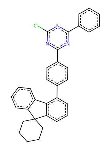 Clc1nc(-c2ccccc2)nc(-c2ccc(-c3cccc4c3-c3ccccc3C43CCCCC3)cc2)n1